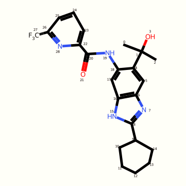 CC(C)(O)c1cc2nc(C3CCCCC3)[nH]c2cc1NC(=O)c1cccc(C(F)(F)F)n1